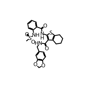 CS(=O)(=O)Nc1ccccc1C(=O)Nc1sc2c(c1C(=O)NCc1ccc3c(c1)OCO3)CCCC2